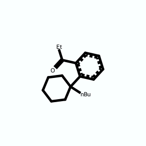 CCCCC1(c2ccccc2C(=O)CC)CCCCC1